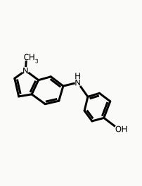 Cn1ccc2ccc(Nc3ccc(O)cc3)cc21